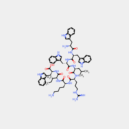 CC[C@H](C)[C@H](NC(=O)[C@H](CCCCN)NC(=O)[C@H](CCCNC(=N)N)NC(=O)[C@H](CC(C)C)NC(=O)[C@H](Cc1c[nH]c2ccccc12)NC(=O)[C@H](Cc1c[nH]c2ccccc12)NC(=O)[C@@H](N)Cc1c[nH]c2ccccc12)C(=O)N[C@@H](Cc1c[nH]c2ccccc12)C(=O)O